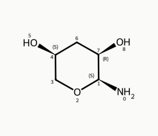 N[C@H]1OC[C@@H](O)C[C@H]1O